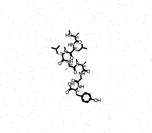 CN[C@@H](C)C(=O)N[C@@H](CC(C)C)C(=O)N(C)[C@@H](CC(C)C)C(=O)N[C@@H](C)C(=O)N(C)[C@@H](C)C(=O)NCC(=O)N[C@@H](Cc1ccc(O)cc1)C(=O)O